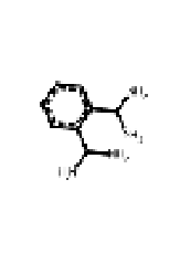 NC(N)c1ccccc1C(N)N